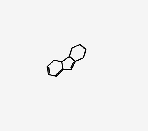 C1=CCC2C(=C1)C=C1CCCCC12